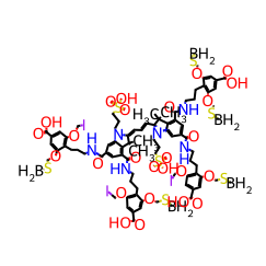 BSCOc1cc(C(=O)O)cc(OCI)c1CCCNC(=O)c1cc(C(=O)NCCCc2c(OCI)cc(C(=O)O)cc2OCSB)c2c(c1)N(CCCS(=O)(=O)O)/C(=C/C=C/C1=[N+](CCCS(=O)(=O)O)c3cc(C(=O)NCCCc4c(OCI)cc(C(=O)O)cc4OCSB)cc(C(=O)NCCCc4c(OCSB)cc(C(=O)O)cc4OCSB)c3C1(C)C)C2(C)C